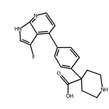 O=C(O)C1(c2ccc(-c3ccnc4[nH]cc(F)c34)cc2)CCNCC1